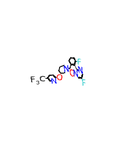 O=C(c1cccc(F)c1-c1ncc(F)cn1)N1CCCC(Oc2ccc(C(F)(F)F)cn2)C1